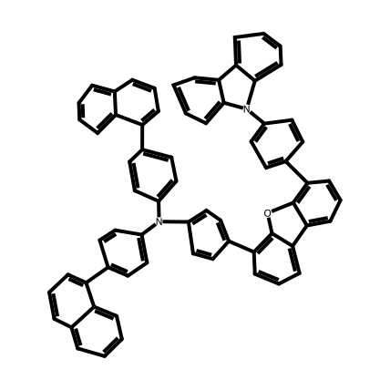 c1ccc2c(-c3ccc(N(c4ccc(-c5cccc6ccccc56)cc4)c4ccc(-c5cccc6c5oc5c(-c7ccc(-n8c9ccccc9c9ccccc98)cc7)cccc56)cc4)cc3)cccc2c1